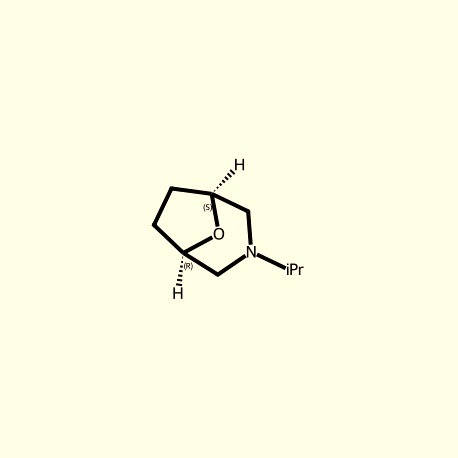 CC(C)N1C[C@H]2CC[C@@H](C1)O2